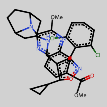 COC(=O)c1ccc2nc(N3C4CCC3CC(NCc3c(-c5c(Cl)cccc5Cl)noc3C3CC3)C4)c(OC)nc2c1